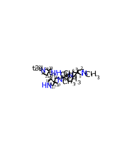 CN1CCC2(C1)CN(C(C)(C)C(C)(C)N1CC3(CNCC3C3NCC34CCN(C(C)(C)C)C4)C1)C2